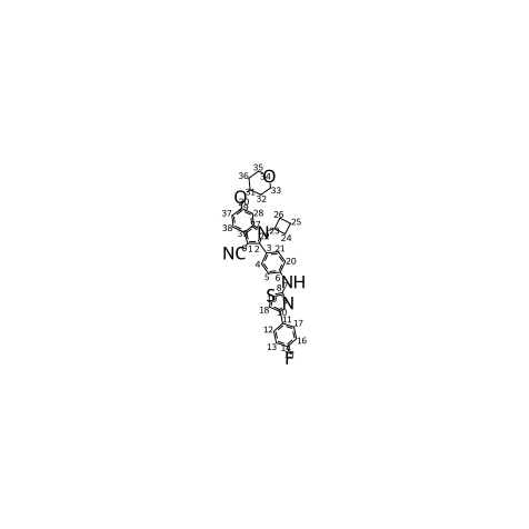 N#Cc1c(-c2ccc(Nc3nc(-c4ccc(F)cc4)cs3)cc2)n(C2CCC2)c2cc(OC3CCOCC3)ccc12